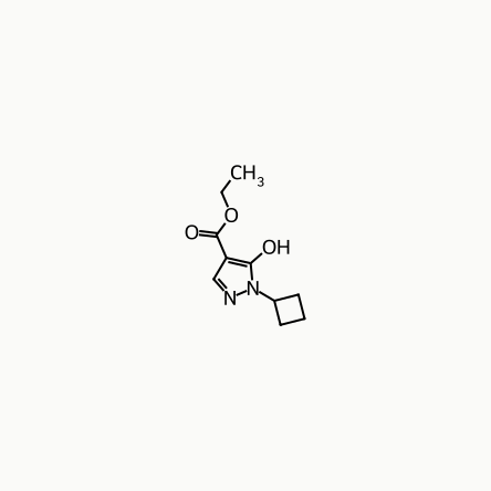 CCOC(=O)c1cnn(C2CCC2)c1O